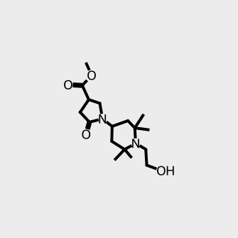 COC(=O)C1CC(=O)N(C2CC(C)(C)N(CCO)C(C)(C)C2)C1